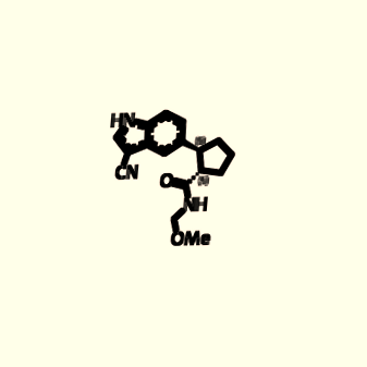 COCNC(=O)[C@H]1CCC[C@@H]1c1ccc2[nH]cc(C#N)c2c1